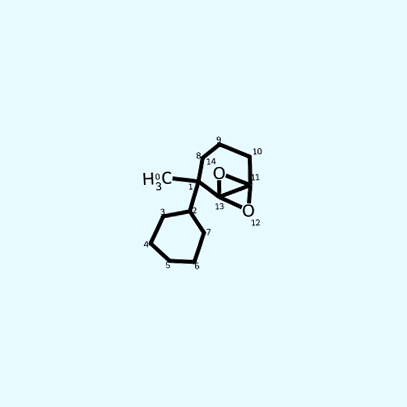 CC1(C2CCCCC2)CCCC23OC21O3